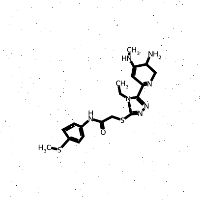 CCn1c(SCC(=O)Nc2ccc(SC)cc2)nnc1C1=NCC(N)C(NC)=C1